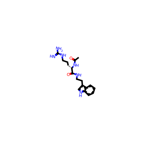 CC(=O)N[C@@H](CCCNC(=N)N)C(=O)NCCc1c[nH]c2ccccc12